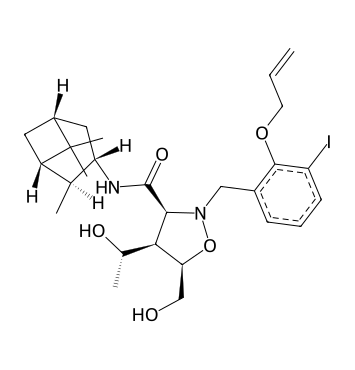 C=CCOc1c(I)cccc1CN1O[C@@H](CO)[C@@H]([C@H](C)O)[C@H]1C(=O)N[C@H]1C[C@H]2C[C@@H]([C@@H]1C)C2(C)C